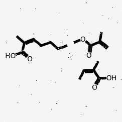 C=C(C)C(=O)OC.CC=C(C)C(=O)O.CCCCC=C(C)C(=O)O